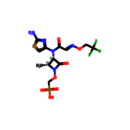 C[C@@H]1[C@H](N(C(=O)C=NOCC(F)(F)F)c2csc(N)n2)C(=O)N1OCS(=O)(=O)O